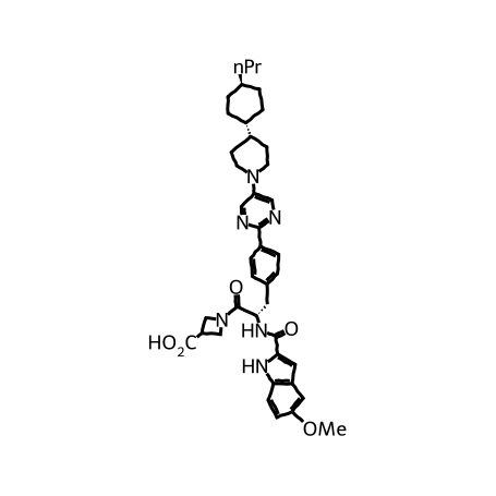 CCC[C@H]1CC[C@H](C2CCN(c3cnc(-c4ccc(C[C@H](NC(=O)c5cc6cc(OC)ccc6[nH]5)C(=O)N5CC(C(=O)O)C5)cc4)nc3)CC2)CC1